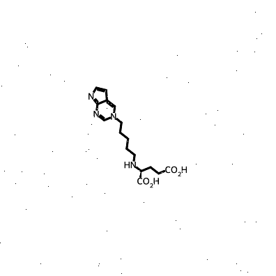 O=C(O)CC[C@H](NCCCCCn1cnc2nccc-2c1)C(=O)O